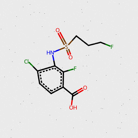 O=C(O)c1ccc(Cl)c(NS(=O)(=O)CCCF)c1F